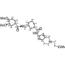 COCCN1CCc2nc(NC(=O)c3cccc(CNC(=O)c4ccc(OC)c(OC)c4)c3)sc2C1